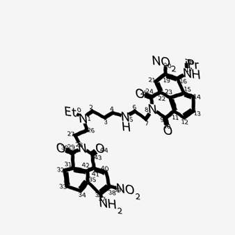 CCN(CCCNCCN1C(=O)c2cccc3c(NC(C)C)c([N+](=O)[O-])cc(c23)C1=O)CCN1C(=O)c2cccc3c(N)c([N+](=O)[O-])cc(c23)C1=O